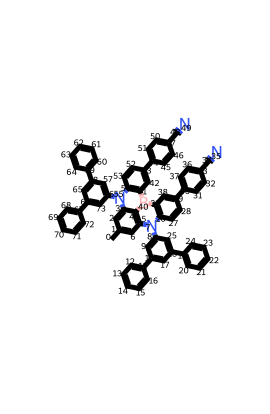 Cc1cc2c3c(c1)N(c1cc(-c4ccccc4)cc(-c4ccccc4)c1)c1ccc(-c4ccc(C#N)cc4)cc1B3c1cc(-c3ccc(C#N)cc3)ccc1N2c1cc(-c2ccccc2)cc(-c2ccccc2)c1